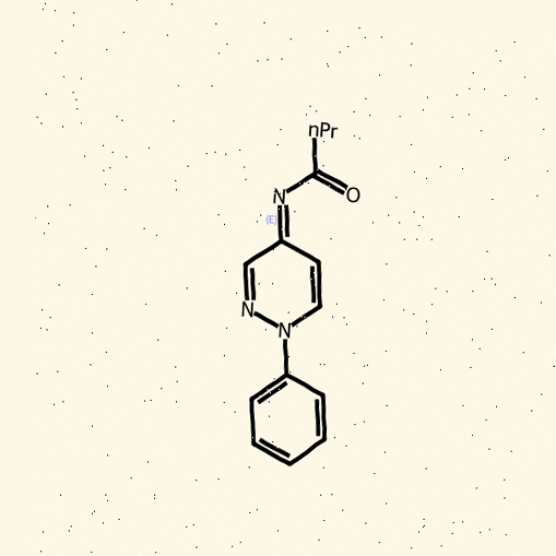 CCCC(=O)/N=c1\ccn(-c2ccccc2)nc1